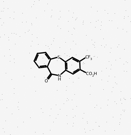 O=C1Nc2cc(C(=O)O)c(C(F)(F)F)cc2Sc2ccccc21